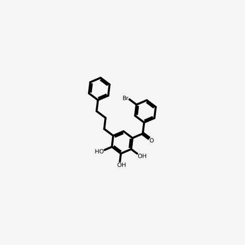 O=C(c1cccc(Br)c1)c1cc(CCCc2ccccc2)c(O)c(O)c1O